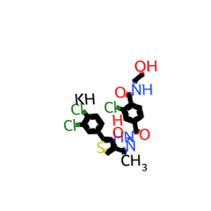 CC(=NNC(=O)c1ccc(C(=O)NCCO)c(Cl)c1)c1csc(-c2ccc(Cl)c(Cl)c2)c1O.[KH]